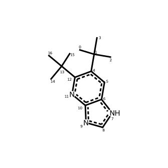 CC(C)(C)c1cc2[nH]cnc2nc1C(C)(C)C